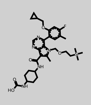 Cc1cc(-c2ncnc3c(C(=O)NC4CCC(NC(=O)O)CC4)c(C)n(COCC[Si](C)(C)C)c23)c(OCC2CC2)cc1F